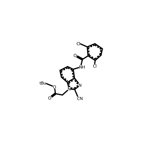 CC(C)(C)OC(=O)Cn1c(C#N)nc2c(NC(=O)c3c(Cl)cccc3Cl)cccc21